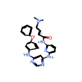 CN(C)C/C=C/C(=O)Nc1cccc(Nc2cc(Nc3ccc(Oc4ccccc4)cc3)ncn2)n1